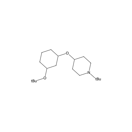 CC(C)(C)OC1CCCC(OC2CCN(C(C)(C)C)CC2)C1